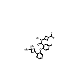 CCCC1(CCC)CN(c2ncncc2Oc2ccc(F)cc2C(=O)N(C(C)C)C2CC(C(F)F)C2)C1